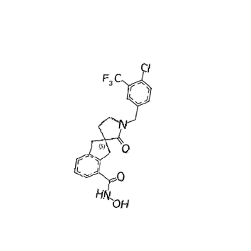 O=C(NO)c1cccc2c1C[C@]1(CCN(Cc3ccc(Cl)c(C(F)(F)F)c3)C1=O)C2